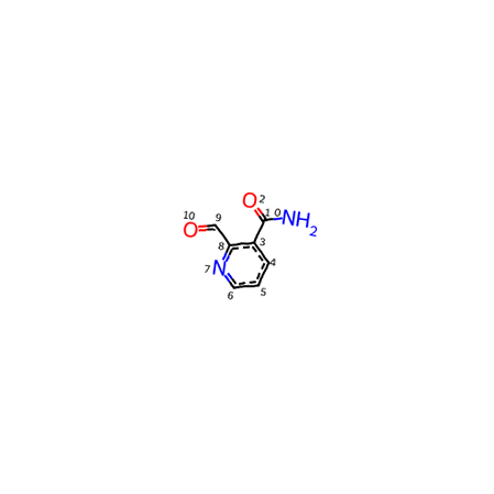 NC(=O)c1cccnc1[C]=O